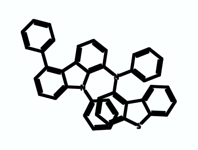 c1ccc(-c2cccc3c2c2cccc(N(c4ccccc4)c4cccc5sc6ccccc6c45)c2n3-c2ccccc2)cc1